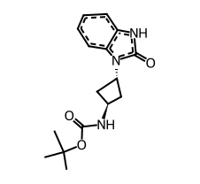 CC(C)(C)OC(=O)N[C@H]1C[C@H](n2c(=O)[nH]c3ccccc32)C1